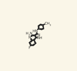 Cc1ccc(Nc2n[nH]c3c2c(N)nc2cc(F)ccc23)cc1